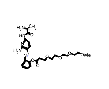 COCCOCCOCCOCCC(=O)Oc1ccccc1/N=N/c1ccc(NC(=O)[C@H](C)N)nc1N